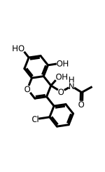 CC(=O)NOC1(O)C(c2ccccc2Cl)=COc2cc(O)cc(O)c21